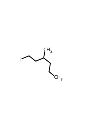 CCCC(C)C[CH]I